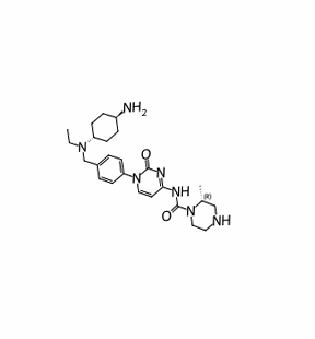 CCN(Cc1ccc(-n2ccc(NC(=O)N3CCNC[C@H]3C)nc2=O)cc1)[C@H]1CC[C@H](N)CC1